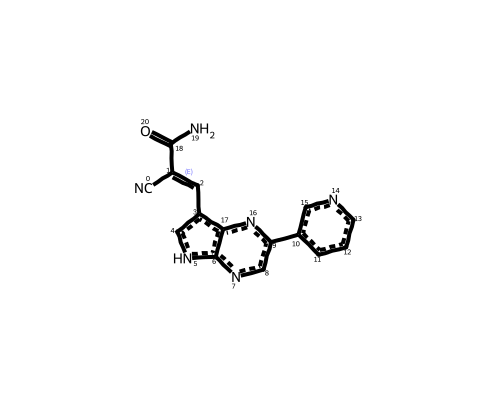 N#C/C(=C\c1c[nH]c2ncc(-c3cccnc3)nc12)C(N)=O